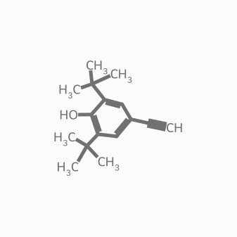 C#Cc1cc(C(C)(C)C)c(O)c(C(C)(C)C)c1